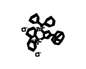 CC1C=C(C23CC4CC(CC(C4)C2)C3)C=[C]1[Zr+2](=[C](c1ccccc1)c1ccccc1)[c]1cccc2c1Cc1ccccc1-2.[Cl-].[Cl-]